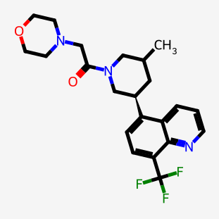 CC1C[C@@H](c2ccc(C(F)(F)F)c3ncccc23)CN(C(=O)CN2CCOCC2)C1